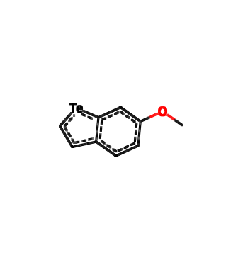 COc1ccc2cc[te]c2c1